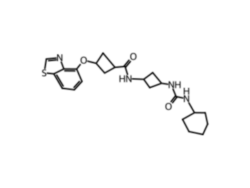 O=C(NC1CCCCC1)NC1CC(NC(=O)C2CC(Oc3cccc4scnc34)C2)C1